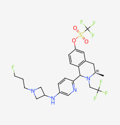 C[C@@H]1Cc2cc(OS(=O)(=O)C(F)(F)F)ccc2C(c2ccc(NC3CN(CCCF)C3)cn2)N1CC(F)(F)F